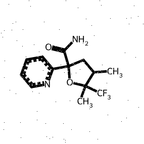 CC1CC(C(N)=O)(c2ccccn2)OC1(C)C(F)(F)F